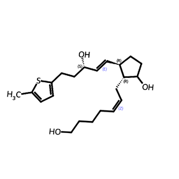 Cc1ccc(CC[C@H](O)/C=C/[C@H]2CCC(O)[C@@H]2C/C=C\CCCCO)s1